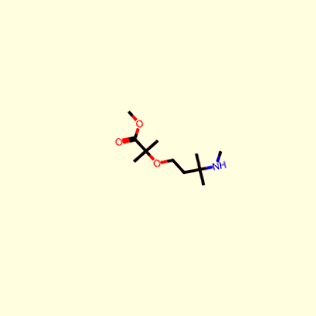 CNC(C)(C)CCOC(C)(C)C(=O)OC